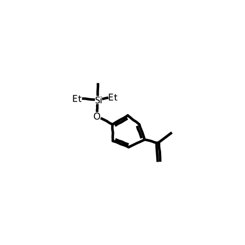 C=C(C)c1ccc(O[Si](C)(CC)CC)cc1